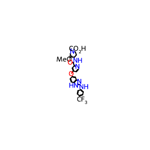 CO[C@@H]1CN(C(=O)O)CCC1NC(=O)c1cc(Oc2ccc3[nH]c(Nc4ccc(C(F)(F)F)cc4)nc3c2)ccn1